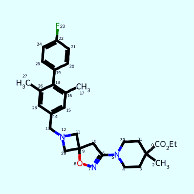 CCOC(=O)C1(C)CCN(C2=NOC3(C2)CN(Cc2cc(C)c(-c4ccc(F)cc4)c(C)c2)C3)CC1